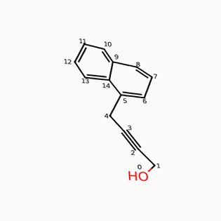 OCC#CCc1cccc2ccccc12